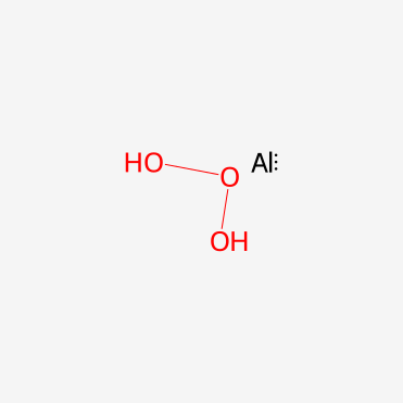 OOO.[Al]